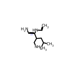 C=CN/C(=C\N)C(CN)CC(C)C